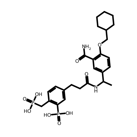 CC(NC(=O)CCc1ccc(CP(=O)(O)O)c(P(=O)(O)O)c1)c1ccc(OCC2CCCCC2)c(C(N)=O)c1